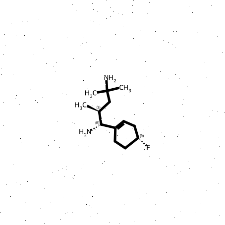 C[C@@H](CC(C)(C)N)[C@@H](N)C1=CC[C@H](F)CC1